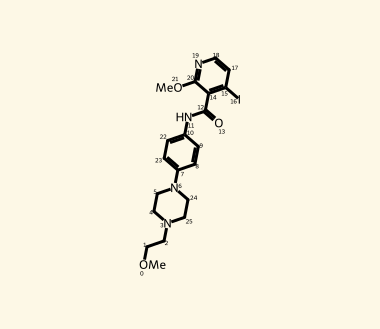 COCCN1CCN(c2ccc(NC(=O)c3c(I)ccnc3OC)cc2)CC1